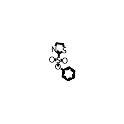 O=S(=O)(Oc1ccccc1)C1=NCCS1